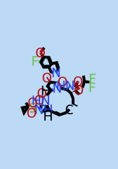 CC[C@@H]1C[C@@H](C)CCC=C[C@@H]2C[C@@]2(C(=O)NS(=O)(=O)C2(C)CC2)NC(=O)[C@@H]2C[C@@H](Oc3nccc4cc(OC)c(F)cc34)CN2C(=O)[C@H]1NC(=O)OC(C)(C)C(F)F